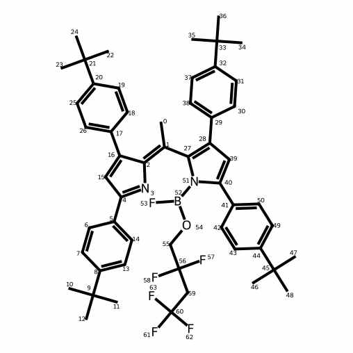 C/C(=C1/N=C(c2ccc(C(C)(C)C)cc2)C=C1c1ccc(C(C)(C)C)cc1)c1c(-c2ccc(C(C)(C)C)cc2)cc(-c2ccc(C(C)(C)C)cc2)n1B(F)OCC(F)(F)CC(F)(F)F